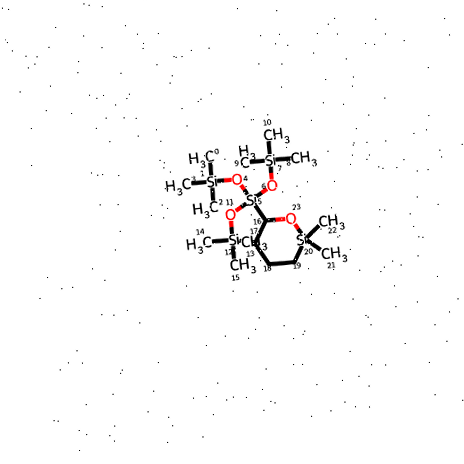 C[Si](C)(C)O[Si](O[Si](C)(C)C)(O[Si](C)(C)C)C1CCC[Si](C)(C)O1